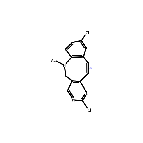 CC(=O)N1Cc2cnc(Cl)nc2/C=C\c2cc(Cl)ccc21